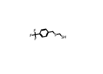 FC(F)(F)c1ccc(CSCS)cc1